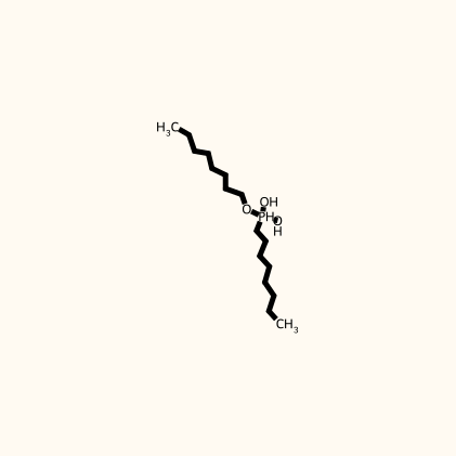 CCCCCCCCO[PH](O)(O)CCCCCCCC